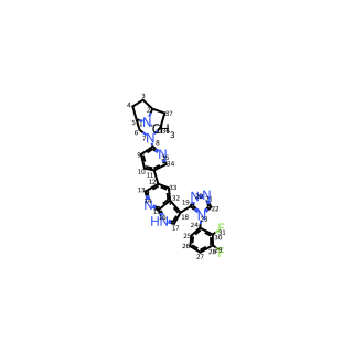 CN1C2CCC1CN(c1ccc(-c3cnc4[nH]cc(-c5nncn5-c5cccc(F)c5F)c4c3)cn1)CC2